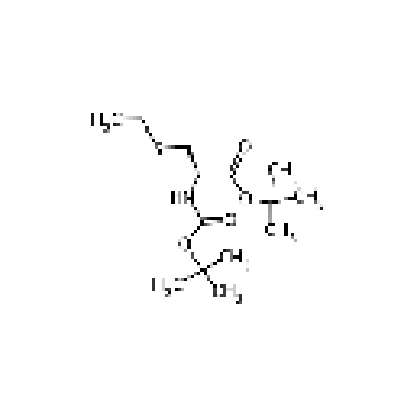 CCSC[C@H](NC(=O)OC(C)(C)C)C(=O)OC(C)(C)C